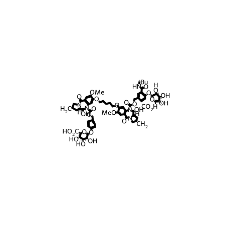 C=C1C[C@H]2C(O)N(C(=O)OCc3ccc(O[C@@H]4O[C@H](C(=O)O)[C@@H](O)[C@H](O)[C@H]4O)cc3)c3cc(OCCCCCOc4cc5c(cc4OC)C(=O)N4CC(=C)C[C@H]4C(O)N5C(=O)OCc4ccc(O[C@@H]5O[C@H](C(=O)O)[C@@H](O)[C@H](O)[C@H]5O)c(C(=O)NC(C)(C)C)c4)c(OC)cc3C(=O)N2C1